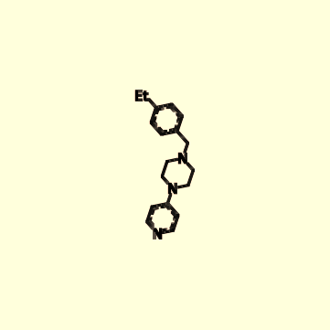 CCc1ccc(CN2CCN(c3ccncc3)CC2)cc1